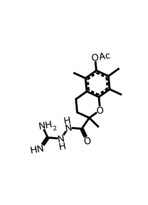 CC(=O)Oc1c(C)c(C)c2c(c1C)CCC(C)(C(=O)NNC(=N)N)O2